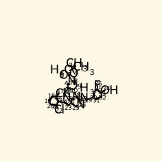 CC(C)(C)OC(=O)N1CCC[C@@H](Cn2c(-c3c(Cl)cccc3Cl)cc3cnc(NCc4ccc(O)c(F)c4)nc32)C1